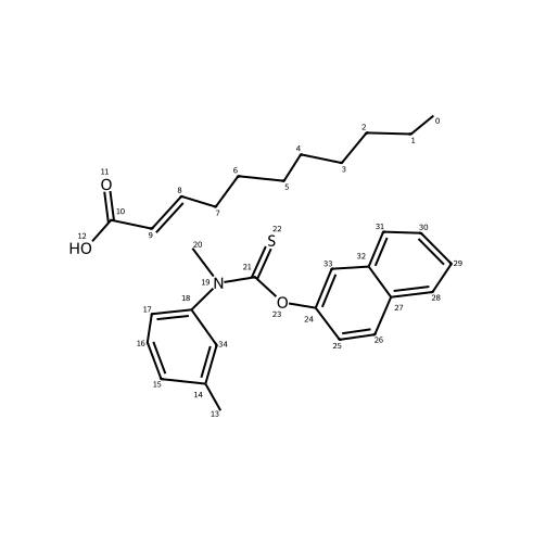 CCCCCCCCC=CC(=O)O.Cc1cccc(N(C)C(=S)Oc2ccc3ccccc3c2)c1